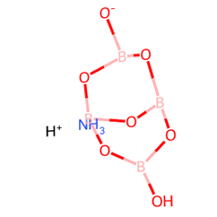 N.[H+].[O-]B1OB2OB(O)OB(O1)O2